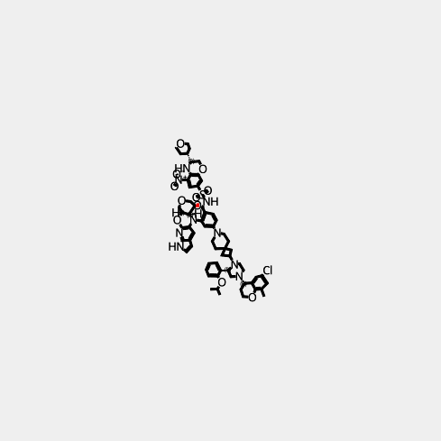 Cc1cc(Cl)cc2c1OCC[C@H]2N1CCN(C2CC3(CCN(c4ccc(C(=O)NS(=O)(=O)c5cc6c(c([N+](=O)[O-])c5)N[C@H](C5CCOCC5)CO6)c(N5c6cc7cc[nH]c7nc6O[C@H]6COCC[C@@H]65)c4)CC3)C2)[C@H](c2ccccc2OC(C)C)C1